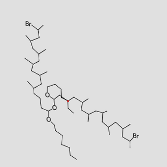 CCCCCCCOC(CCCC(C)CC(C)CC(C)CC(C)CC(C)CC(C)Br)OC(CCCC(C)CC(C)CC(C)CC(C)CC(C)CC(C)Br)OCCCCCCC